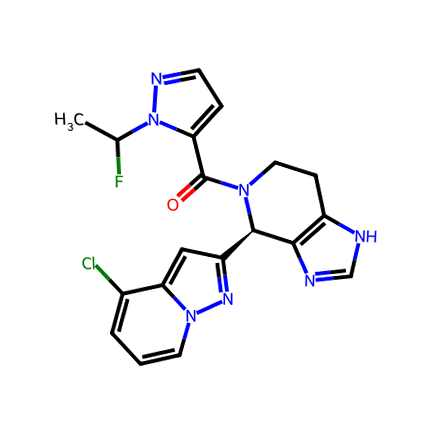 CC(F)n1nccc1C(=O)N1CCc2[nH]cnc2[C@H]1c1cc2c(Cl)cccn2n1